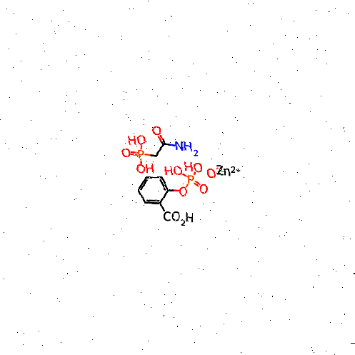 NC(=O)CP(=O)(O)O.O=C(O)c1ccccc1OP(=O)(O)O.[O-2].[Zn+2]